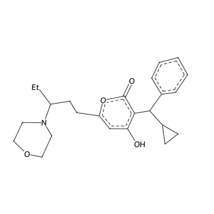 CCC(CCc1cc(O)c(C(c2ccccc2)C2CC2)c(=O)o1)N1CCOCC1